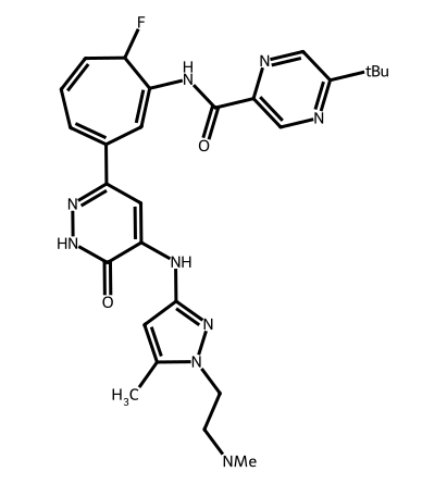 CNCCn1nc(Nc2cc(C3=CC=CC(F)C(NC(=O)c4cnc(C(C)(C)C)cn4)=C3)n[nH]c2=O)cc1C